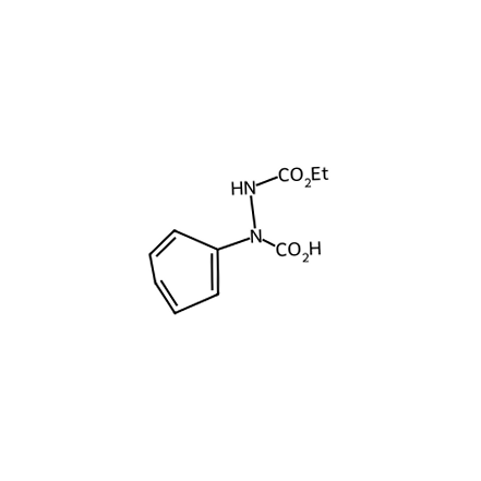 CCOC(=O)NN(C(=O)O)c1ccccc1